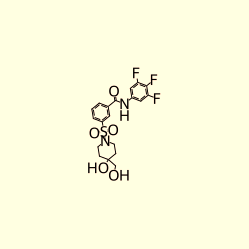 O=C(Nc1cc(F)c(F)c(F)c1)c1cccc(S(=O)(=O)N2CCC(O)(CO)CC2)c1